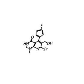 CC(C)c1nc2c(c(-c3ccc(F)cc3)c1CO)C(=O)NCN2C